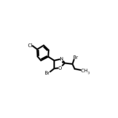 CCC(Br)C1=NC(c2ccc(Cl)cc2)C(Br)O1